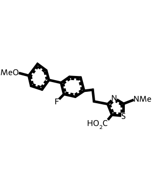 CNc1nc(CCc2ccc(-c3ccc(OC)cc3)c(F)c2)c(C(=O)O)s1